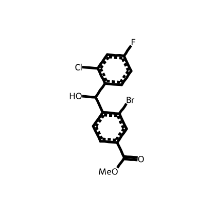 COC(=O)c1ccc(C(O)c2ccc(F)cc2Cl)c(Br)c1